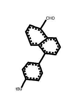 CC(C)(C)c1ccc(-c2cccc3c(C=O)cccc23)cc1